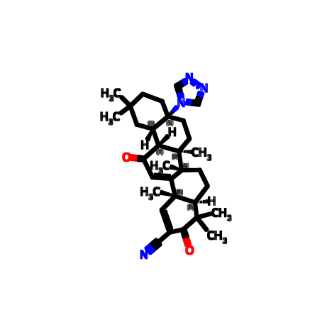 CC1(C)CC[C@]2(n3cnnc3)CC[C@]3(C)[C@H](C(=O)C=C4[C@@]5(C)C=C(C#N)C(=O)C(C)(C)[C@@H]5CC[C@]43C)[C@@H]2C1